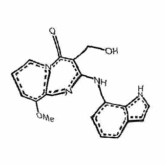 COc1cccn2c(=O)c(CO)c(Nc3cccc4cc[nH]c34)nc12